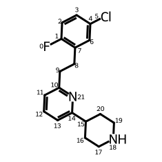 Fc1ccc(Cl)cc1CCc1cccc(C2CCNCC2)n1